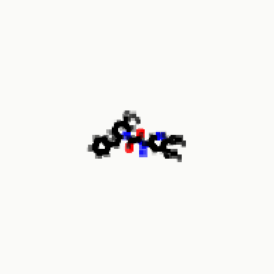 Cc1cc(NC(=O)C(=O)N2C[C@@H](C)CCC2Cc2ccccc2)cnc1C